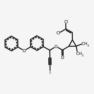 CC1(C)C(C=C(Cl)Cl)C1C(=O)OC(C#CI)c1cccc(Oc2ccccc2)c1